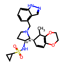 CC1C2=C(C=CC1[C@@H]1[C@@H](NS(=O)(=O)C3CC3)CCN1Cc1cccc3[nH]ncc13)OCCO2